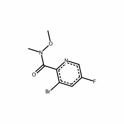 CON(C)C(=O)c1ncc(F)cc1Br